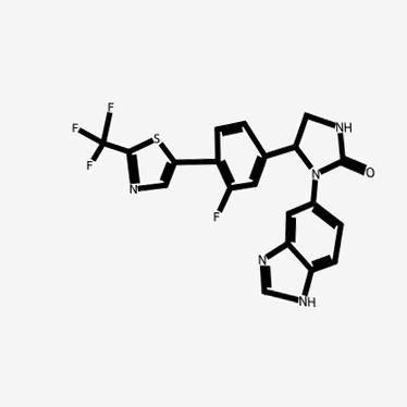 O=C1NCC(c2ccc(-c3cnc(C(F)(F)F)s3)c(F)c2)N1c1ccc2[nH]cnc2c1